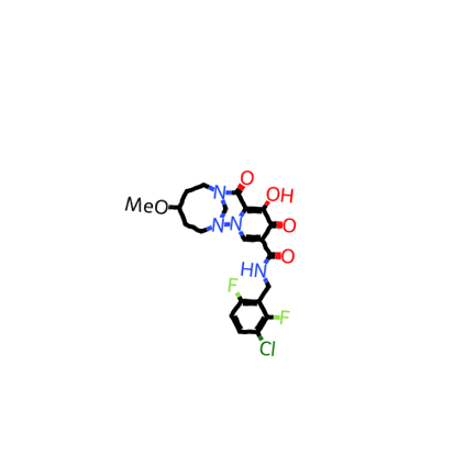 COC1CCN2CN(CC1)n1cc(C(=O)NCc3c(F)ccc(Cl)c3F)c(=O)c(O)c1C2=O